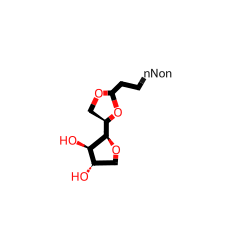 CCCCCCCCCCCC1OC[C@H]([C@H]2OC[C@H](O)[C@H]2O)O1